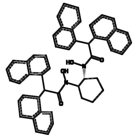 O=C(C(c1cccc2ccccc12)c1cccc2ccccc12)N(O)C1CCCC[C@H]1N(O)C(=O)C(c1cccc2ccccc12)c1cccc2ccccc12